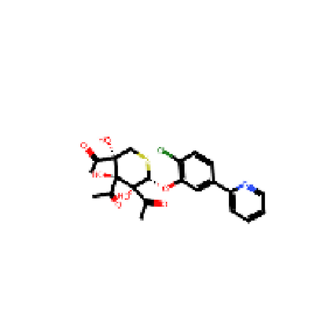 CC(=O)[C@]1(O)[C@@](O)(C(C)=O)CS[C@H](Oc2cc(-c3ccccn3)ccc2Cl)[C@@]1(O)C(C)=O